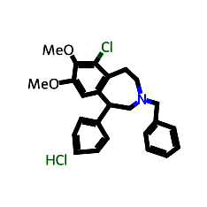 COc1cc2c(c(Cl)c1OC)CCN(Cc1ccccc1)CC2c1ccccc1.Cl